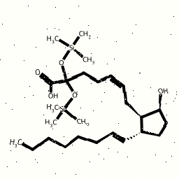 CCCCCC/C=C/[C@H]1CC[C@H](O)[C@@H]1C/C=C\CCC(O[Si](C)(C)C)(O[Si](C)(C)C)C(=O)O